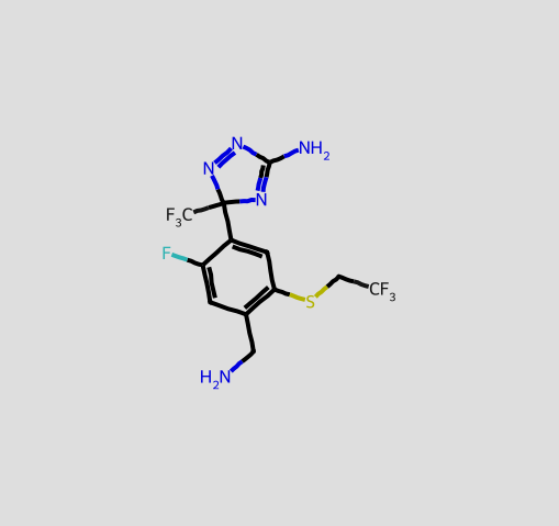 NCc1cc(F)c(C2(C(F)(F)F)N=NC(N)=N2)cc1SCC(F)(F)F